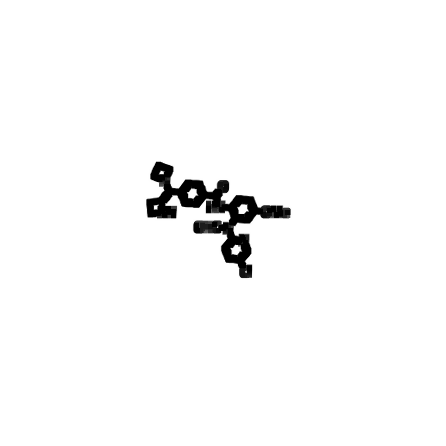 COc1ccc(NC(=O)c2ccc(C(=C3CCN3)N3CCC3)cc2)c(N(C=O)c2ccc(Cl)cn2)c1